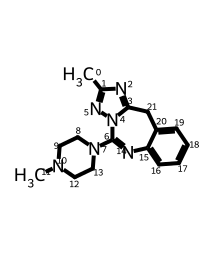 Cc1nc2n(n1)C(N1CCN(C)CC1)=Nc1ccccc1C2